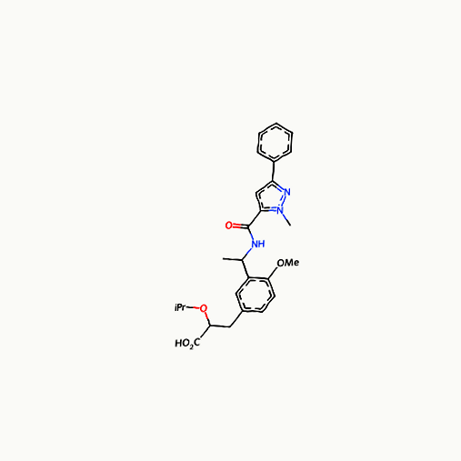 COc1ccc(CC(OC(C)C)C(=O)O)cc1C(C)NC(=O)c1cc(-c2ccccc2)nn1C